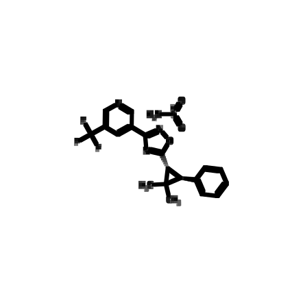 CC1(C)[C@H](c2ccccc2)[C@H]1c1nc(-c2cncc(C(F)(F)F)c2)no1.N[SH](=O)=O